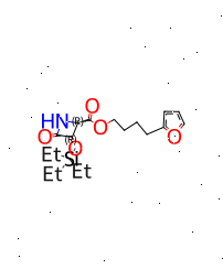 CC[Si](CC)(CC)O[C@H]1C(=O)N[C@H]1C(=O)OCCCCc1ccco1